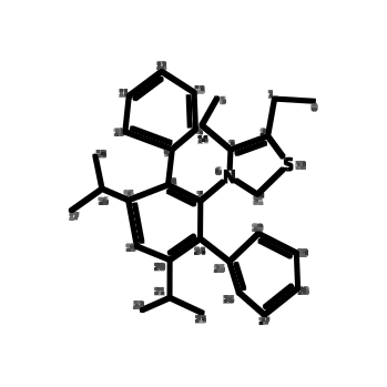 CCC1=C(CC)N(c2c(-c3ccccc3)c(C(C)C)cc(C(C)C)c2-c2ccccc2)[C]S1